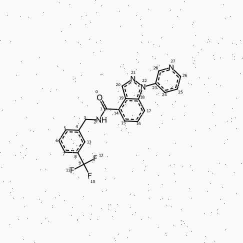 O=C(NCc1cccc(C(F)(F)F)c1)c1cccc2c1cnn2-c1cccnc1